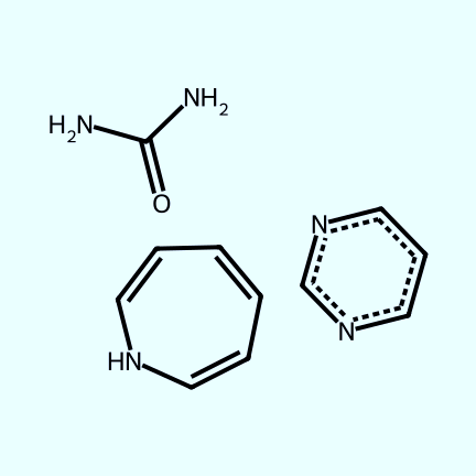 C1=CC=CNC=C1.NC(N)=O.c1cncnc1